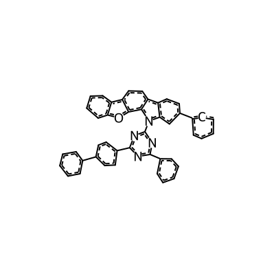 c1ccc(-c2ccc(-c3nc(-c4ccccc4)nc(-n4c5cc(-c6ccccc6)ccc5c5ccc6c7ccccc7oc6c54)n3)cc2)cc1